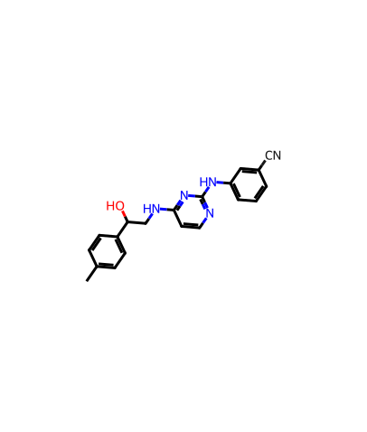 Cc1ccc(C(O)CNc2ccnc(Nc3cccc(C#N)c3)n2)cc1